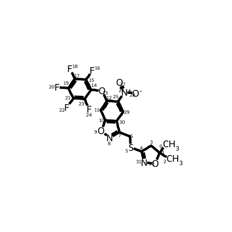 CC1(C)CC(SCc2noc3cc(Oc4c(F)c(F)c(F)c(F)c4F)c([N+](=O)[O-])cc23)=NO1